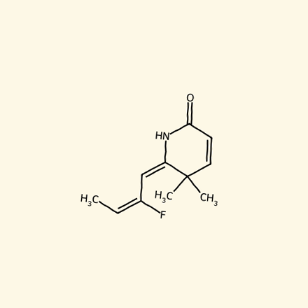 C/C=C(F)\C=C1\NC(=O)C=CC1(C)C